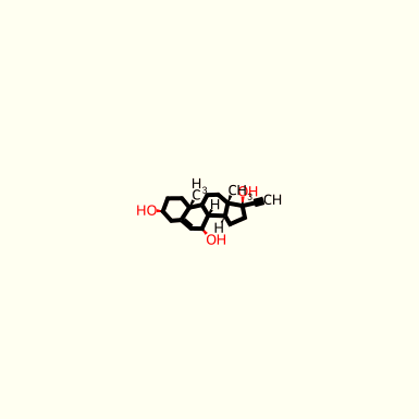 C#C[C@]1(O)CC[C@H]2[C@H]3C(CC[C@@]21C)[C@@]1(C)CC[C@H](O)CC1=C[C@@H]3O